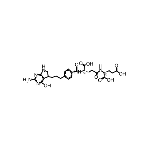 Nc1nc(O)c2c(n1)NCC2CCCc1ccc(C(=O)N[C@@H](CCC(=O)N[C@@H](CCC(=O)O)C(=O)O)C(=O)O)cc1